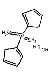 Cl.Cl.[SiH2]=[Zr](=[SiH2])([C]1=CC=CC1)[C]1=CC=CC1